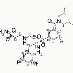 CCCN(CCC)C(=O)c1cc(C)cc(C(=O)OC(CNCCS(N)(=O)=O)C(N)Cc2cc(F)cc(F)c2)c1